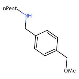 CCCCCNCc1ccc(COC)cc1